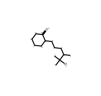 CCC(C)(C)C(C)CCCC1CCCCC1=O